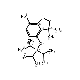 Cc1ccc(O[Si](C(C)C)(C(C)C)C(C)C)c2c1OCC2(C)C